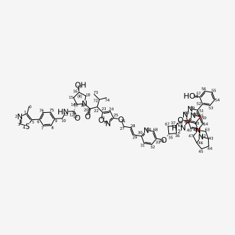 Cc1ncsc1-c1ccc(CNC(=O)[C@@H]2C[C@@H](O)CN2C(=O)C(c2cc(OCC=Cc3ccc(O[C@H]4C[C@H](Oc5cc(N6C7CCC6CN(c6cc(-c8ccccc8O)nnc6N)C7)ccn5)C4)cn3)no2)C(C)C)cc1